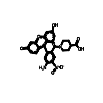 Nc1cc(-c2c3ccc(=O)cc-3oc3cc(O)ccc23)c(C(=O)N2CCC(C(=O)O)CC2)cc1[N+](=O)[O-]